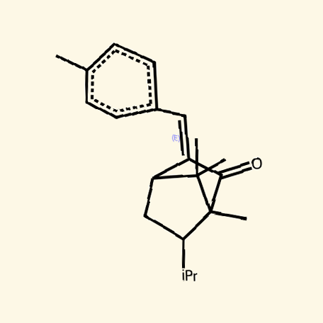 Cc1ccc(/C=C2/C(=O)C3(C)C(C(C)C)CC2C3(C)C)cc1